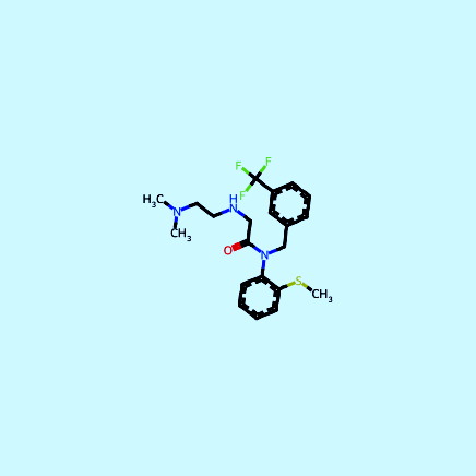 CSc1ccccc1N(Cc1cccc(C(F)(F)F)c1)C(=O)CNCCN(C)C